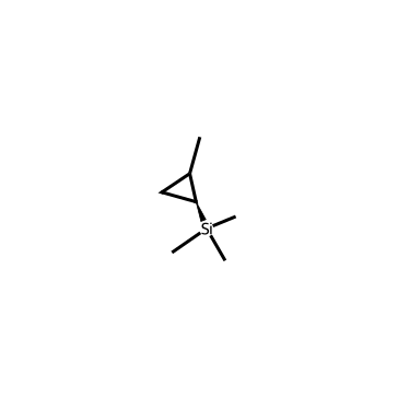 CC1C[C@@H]1[Si](C)(C)C